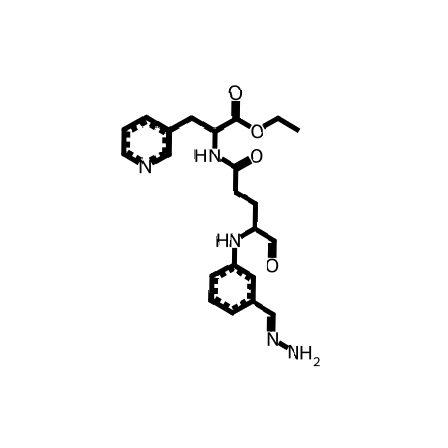 CCOC(=O)C(Cc1cccnc1)NC(=O)CCC(C=O)Nc1cccc(C=NN)c1